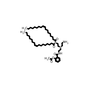 CCCCCCCC/C=C\CCCCCCCC(=O)N(CCN(CCN)CCNC(=O)c1ccccc1OC(C)=O)C(=O)CCCCCCC/C=C\CCCCCCCC